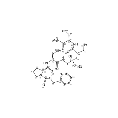 CCOP(=O)(CNC(=O)[C@H](CC(C)C)NC(=O)[C@@H]1CCCN1C(=O)OCc1ccccc1)CC(CC(C)C)C(=O)N[C@@H](CC(C)C)C(=O)NC